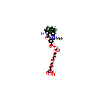 COc1cc(C(=O)OCOC(=O)OCCOCCOCCOCCOP(=O)(O)O)ccc1NC(=O)C1NC(CC(C)(C)C)C(C#N)(c2ccc(Cl)cc2F)C1c1cccc(Cl)c1F